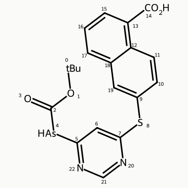 CC(C)(C)OC(=O)[AsH]c1cc(Sc2ccc3c(C(=O)O)cccc3c2)ncn1